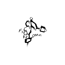 COc1cc(F)ccc1[C@H](O)CN1c2nc(N3CCOCC3)cc(=O)n2CC[C@H]1C(F)(F)F